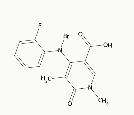 Cc1c(N(Br)c2ccccc2F)c(C(=O)O)cn(C)c1=O